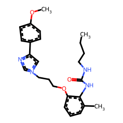 CCCCNC(=O)Nc1c(C)cccc1OCCCn1cnc(-c2ccc(OC)cc2)c1